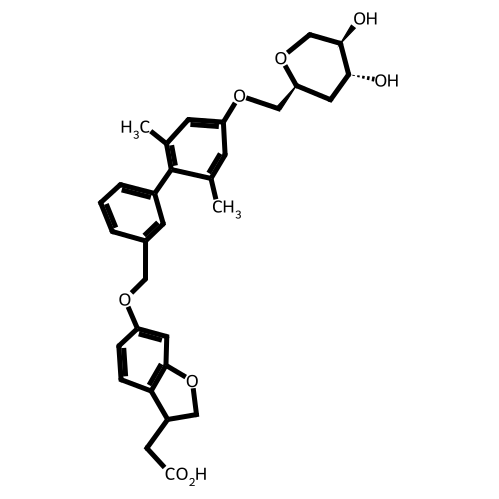 Cc1cc(OC[C@@H]2C[C@@H](O)[C@H](O)CO2)cc(C)c1-c1cccc(COc2ccc3c(c2)OCC3CC(=O)O)c1